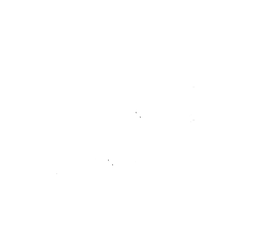 CC1(C)c2ccccc2-c2ccc(-n3c4ccccc4c4ccc(N(c5ccccc5)c5ccc6c(c5)[Si](C)(C)c5ccccc5C65c6ccccc6-c6cccc7cccc5c67)cc43)cc21